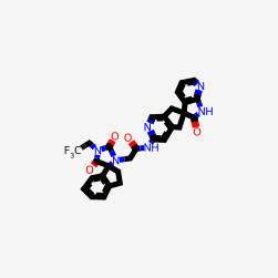 O=C(CN1C(=O)N(CC(F)(F)F)C(=O)C12CCc1ccccc12)Nc1cc2c(cn1)CC1(C2)C(=O)Nc2ncccc21